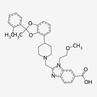 COCCn1c(CN2CCC(c3cccc4c3OC(C)(c3ccccc3C)O4)CC2)nc2ccc(C(=O)O)cc21